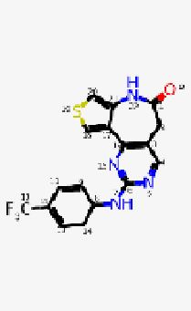 O=C1Cc2cnc(NC3C=CC(C(F)(F)F)=CC3)nc2-c2cscc2N1